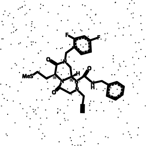 C#CCN1CC(=O)N2[C@@H](CCSC)C(=O)N(Cc3ccc(F)cc3F)C[C@@H]2N1C(=O)NCc1ccccc1